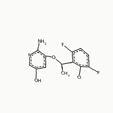 CC(Oc1cc(O)cnc1N)c1c(F)ccc(F)c1Cl